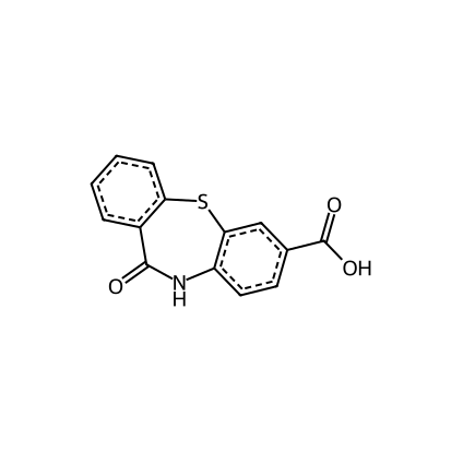 O=C(O)c1ccc2c(c1)Sc1ccccc1C(=O)N2